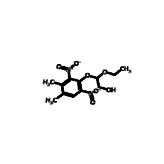 CCOC(CO)Oc1c([N+](=O)[O-])cc(C)c(C)c1[N+](=O)[O-]